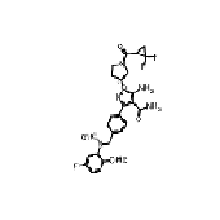 COc1ccc(F)cc1N(C=O)Cc1ccc(-c2nn([C@H]3CCN(C(=O)C4CC4(F)F)C3)c(N)c2C(N)=O)cc1